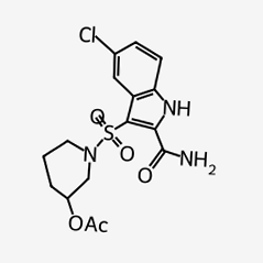 CC(=O)OC1CCCN(S(=O)(=O)c2c(C(N)=O)[nH]c3ccc(Cl)cc23)C1